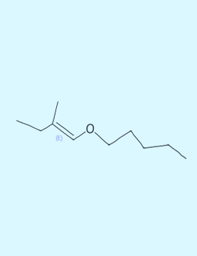 CCCCCO/C=C(\C)CC